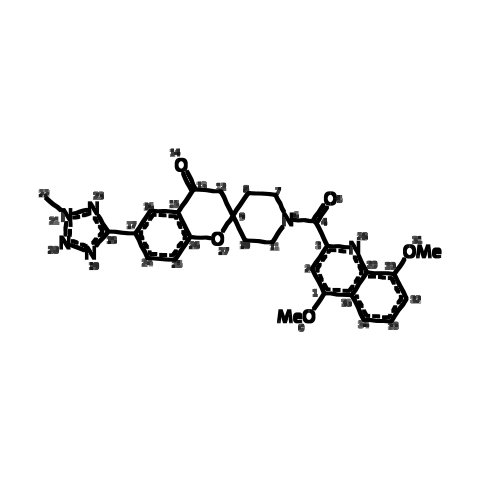 COc1cc(C(=O)N2CCC3(CC2)CC(=O)c2cc(-c4nnn(C)n4)ccc2O3)nc2c(OC)cccc12